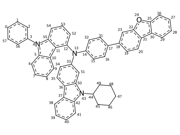 c1ccc(-n2c3ccccc3c3c(N(c4ccc(-c5ccc6c(c5)oc5ccccc56)cc4)c4ccc5c6ccccc6n(C6CCCCC6)c5c4)cccc32)cc1